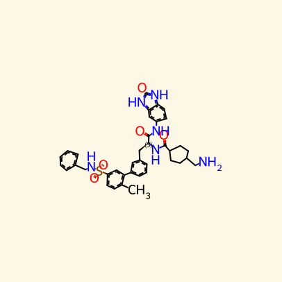 Cc1ccc(S(=O)(=O)NCc2ccccc2)cc1-c1cccc(C[C@H](NC(=O)C2CCC(CN)CC2)C(=O)Nc2ccc3[nH]c(=O)[nH]c3c2)c1